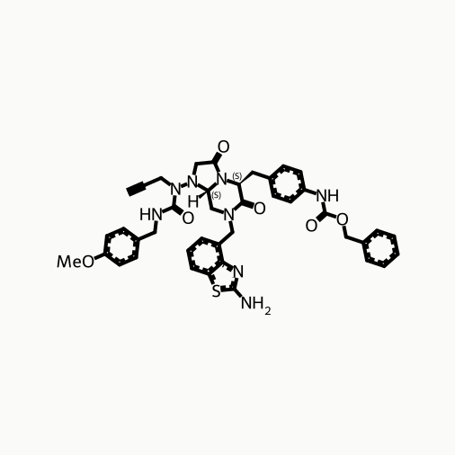 C#CCN(C(=O)NCc1ccc(OC)cc1)N1CC(=O)N2[C@@H](Cc3ccc(NC(=O)OCc4ccccc4)cc3)C(=O)N(Cc3cccc4sc(N)nc34)C[C@@H]21